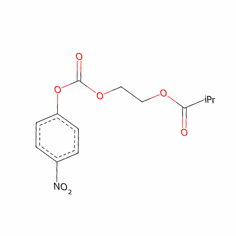 CC(C)C(=O)OCCOC(=O)Oc1ccc([N+](=O)[O-])cc1